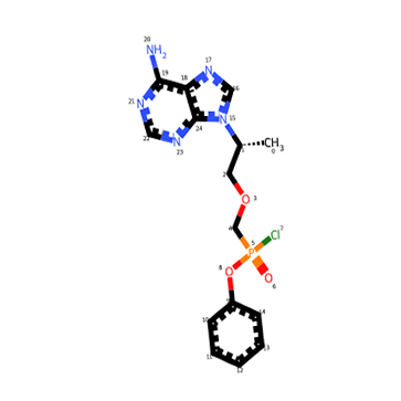 C[C@H](COCP(=O)(Cl)Oc1ccccc1)n1cnc2c(N)ncnc21